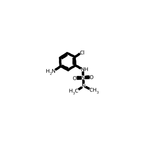 CN(C)S(=O)(=O)Nc1cc(N)ccc1Cl